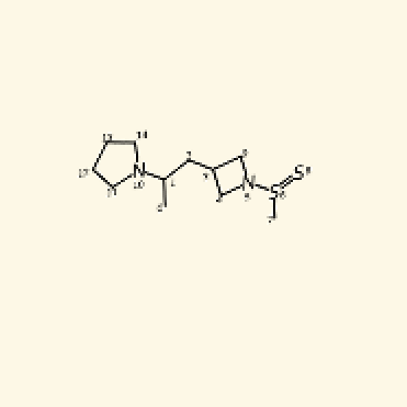 CC(CC1CN(S(C)=S)C1)N1CCCC1